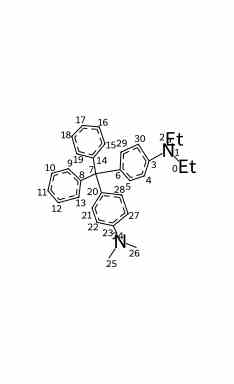 CCN(CC)c1ccc(C(c2ccccc2)(c2ccccc2)c2ccc(N(C)C)cc2)cc1